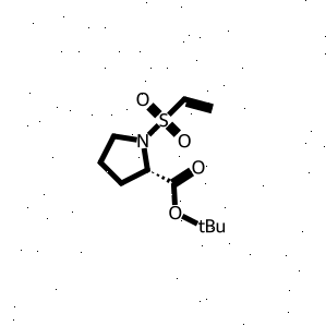 C=CS(=O)(=O)N1CCC[C@H]1C(=O)OC(C)(C)C